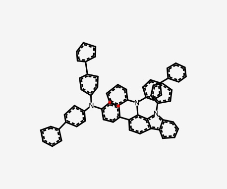 c1ccc(-c2ccc(N(c3ccc(-c4ccccc4)cc3)c3ccc(-c4ccc5c6ccccc6n(-c6ccccc6)c5c4N(c4ccccc4)c4ccc(-c5ccccc5)cc4)cc3)cc2)cc1